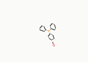 C=O.c1ccc(P(c2ccccc2)c2ccccc2)cc1